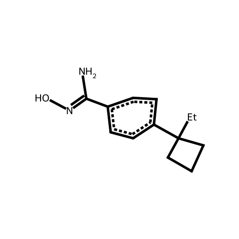 [CH2]CC1(c2ccc(C(N)=NO)cc2)CCC1